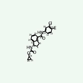 O=C(N[C@H]1CCc2c(C(=O)Nc3ccc(F)c(Cl)c3)cccc21)OC1CC1